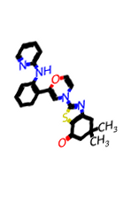 CC1(C)CC(=O)c2sc(N3C=COC(C4=C(Nc5ccccn5)C=CCC4)=C3)nc2C1